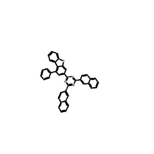 c1ccc(-c2cc(-c3nc(-c4ccc5ccccc5c4)nc(-c4ccc5ccccc5c4)n3)cc3sc4ccccc4c23)cc1